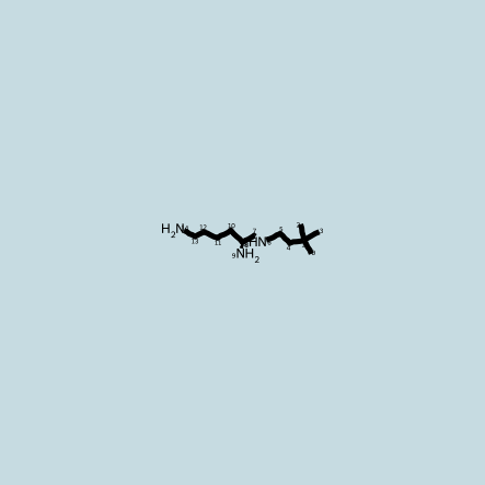 CC(C)(C)CCNC[C@@H](N)CCCCN